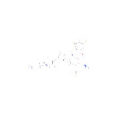 N#Cc1c(C(F)(F)F)cc(-c2cc(-c3ccc(N4CCNCC4)nc3)cs2)n(Cc2ccc(F)cc2F)c1=O